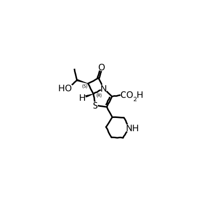 CC(O)[C@H]1C(=O)N2C(C(=O)O)=C(C3CCCNC3)S[C@H]12